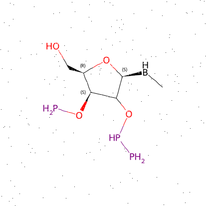 CB[C@@H]1O[C@H](CO)[C@H](OP)C1OPP